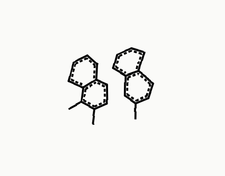 Cc1ccc2ccccc2c1.Cc1ccc2ccccc2c1C